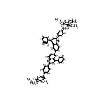 CC1(C)OB(c2ccc(-c3cc(-c4ccccc4)c4cc(-c5ccc6nc(-c7ccc(B8OC(C)(C)C(C)(C)O8)cc7)cc(-c7ccccc7)c6c5)ccc4n3)cc2)OC1(C)C